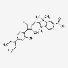 CCN(CC)c1ccc(C2=C(O)C(=CC3=[N+](C)c4ccc(C(=O)O)cc4C3(C)C)C2=O)c(O)c1